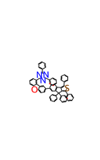 c1ccc(-c2nc(-c3ccccc3)nc(-c3cccc4oc5ccc(-c6ccc7c(c6)C(c6ccccc6)(c6ccccc6)c6c(-c8ccccc8)sc(-c8ccccc8)c6-7)cc5c34)n2)cc1